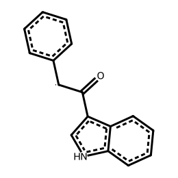 O=C([CH]c1ccccc1)c1c[nH]c2ccccc12